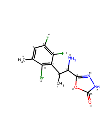 Cc1cc(F)c(F)c(C(C)C(N)c2n[nH]c(=O)o2)c1Br